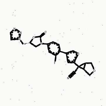 N#CC1(c2cc(-c3ccc(N4C[C@H](Cn5ccnn5)OC4=O)cc3F)cs2)C2COCC21